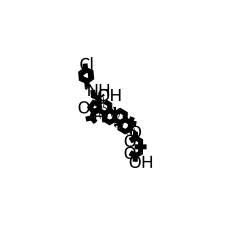 CC(C)C1=C2[C@H]3CCC4[C@@]5(C)CC[C@H](OC(=O)CC(C)(C)CC(=O)O)C(C)(C)C5CC[C@@]4(C)[C@]3(C)CC[C@@]2([C@H](O)CNCc2ccc(Cl)cc2)CC1=O